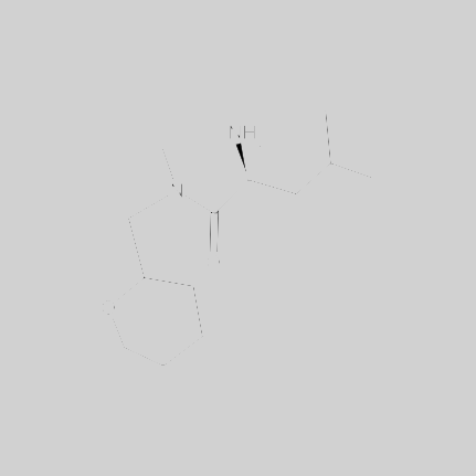 CC(C)C[C@H](N)C(=O)N(C)CC1CCCCO1